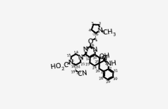 CN1CCC[C@H]1COc1nc2c(c(N3CCN(C(=O)O)[C@@H](CC#N)C3)n1)CCC1(Cc3ccccc3NC1=O)C2O